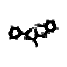 CC(NC(=O)c1ccccc1)C(=O)Nc1ccccc1F